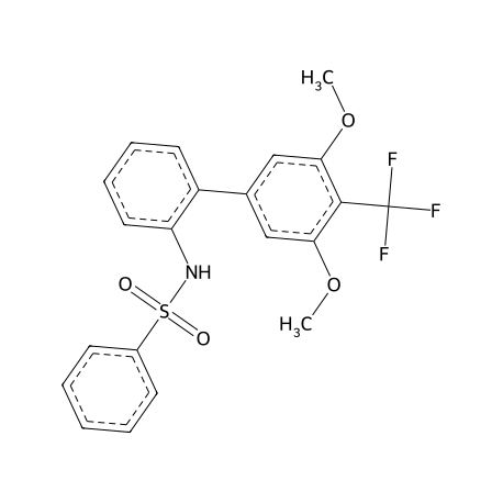 COc1cc(-c2ccccc2NS(=O)(=O)c2ccccc2)cc(OC)c1C(F)(F)F